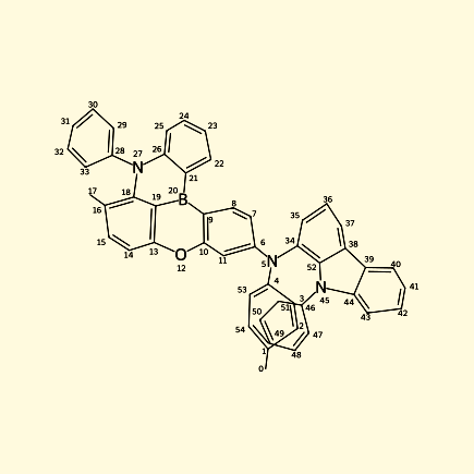 Cc1ccc(N(c2ccc3c(c2)Oc2ccc(C)c4c2B3c2ccccc2N4c2ccccc2)c2cccc3c4ccccc4n(C4C=CC=CC4)c23)cc1